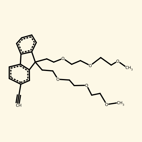 C#Cc1ccc2c(c1)C(CCOCCOCCOC)(CCOCCOCCOC)c1ccccc1-2